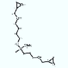 CO[Si](C)(CCCOCC1CO1)OCCCCOCC1CO1